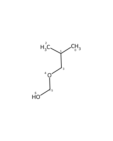 CC(C)CO[CH]O